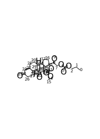 CCCOC(=O)OCC(=O)[C@@]1(OC(=O)OC)CC[C@H]2[C@@H]3CCC4=CC(=O)CC[C@]4(C)[C@H]3C(=O)C[C@@]21C